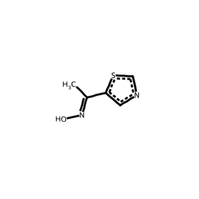 CC(=NO)c1cncs1